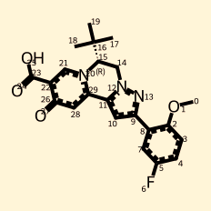 COc1ccc(F)cc1-c1cc2n(n1)C[C@@H](C(C)(C)C)n1cc(C(=O)O)c(=O)cc1-2